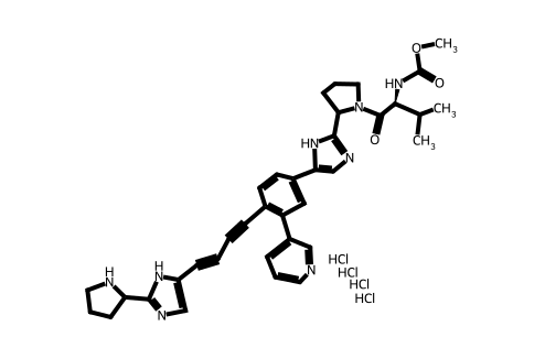 COC(=O)N[C@H](C(=O)N1CCCC1c1ncc(-c2ccc(C#CC#Cc3cnc(C4CCCN4)[nH]3)c(-c3cccnc3)c2)[nH]1)C(C)C.Cl.Cl.Cl.Cl